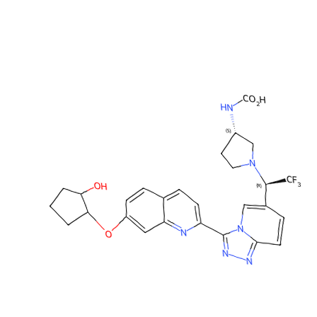 O=C(O)N[C@H]1CCN([C@H](c2ccc3nnc(-c4ccc5ccc(OC6CCCC6O)cc5n4)n3c2)C(F)(F)F)C1